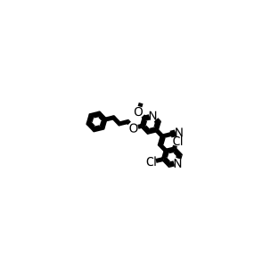 COc1ncc(C(C#N)=Cc2c(Cl)cncc2Cl)cc1OCCCc1ccccc1